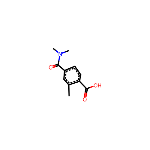 Cc1cc(C(=O)N(C)C)ccc1C(=O)O